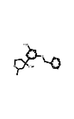 COC1(c2cc(OCc3ccccc3)cc([N+](=O)[O-])c2)CCOC(C)C1